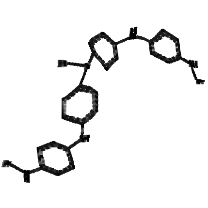 CCN(c1ccc(Nc2ccc(NC(C)C)cc2)cc1)c1ccc(Nc2ccc(NC(C)C)cc2)cc1